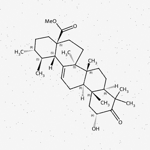 COC(=O)[C@]12CC[C@@H](C)[C@H](C)[C@H]1C1=CC[C@@H]3[C@@]4(C)C[C@@H](O)C(=O)C(C)(C)[C@@H]4CC[C@@]3(C)[C@]1(C)CC2